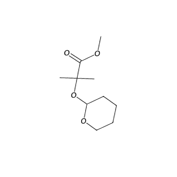 COC(=O)C(C)(C)OC1CCCCO1